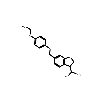 CCOc1ccc(OCc2ccc3c(c2)OCC3C(C)O)cc1